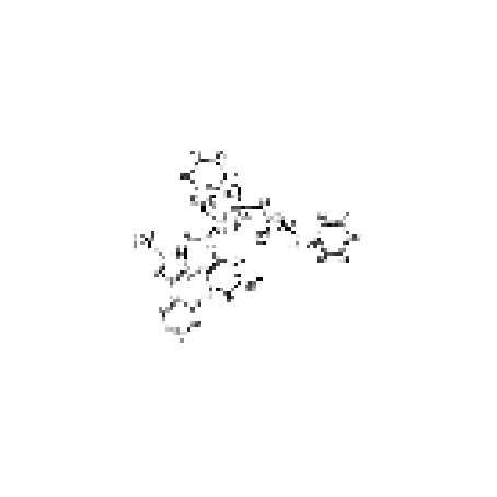 CC(C)c1cc(-c2ccccc2)c(-c2ccc(F)cc2)n1CC[C@@H]1C[C@H](CC(=O)OCc2ccccc2)OC2(CCCCC2)O1